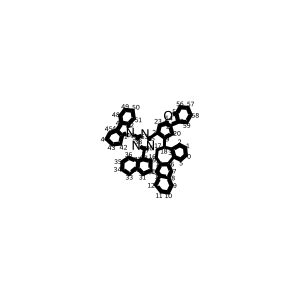 c1ccc2c(c1)-c1cc3ccccc3cc1CCC2c1cc2c(cc1-c1nc(-c3cccc4ccccc34)nc(-n3c4ccccc4c4ccccc43)n1)oc1ccccc12